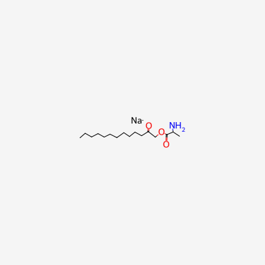 CCCCCCCCCCCC(=O)COC(=O)C(C)N.[Na]